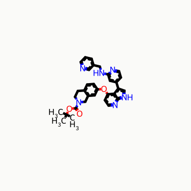 CC(C)(C)OC(=O)N1CCc2ccc(Oc3ccnc4[nH]cc(-c5ccnc(NCc6cccnc6)c5)c34)cc2C1